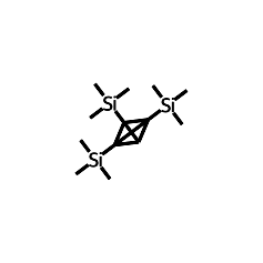 C[Si](C)(C)C12C3C1([Si](C)(C)C)C32[Si](C)(C)C